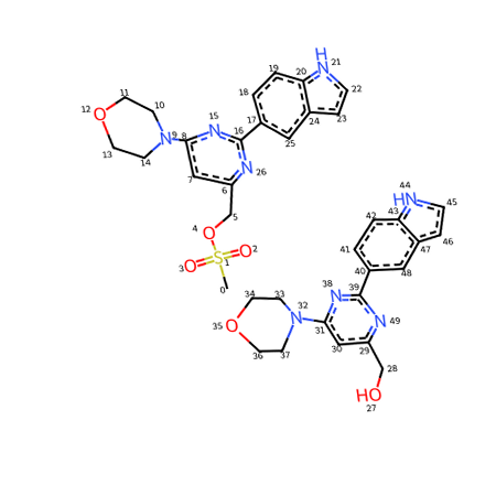 CS(=O)(=O)OCc1cc(N2CCOCC2)nc(-c2ccc3[nH]ccc3c2)n1.OCc1cc(N2CCOCC2)nc(-c2ccc3[nH]ccc3c2)n1